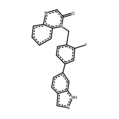 O=c1cnc2ccccc2n1Cc1ccc(-c2ccc3cn[nH]c3c2)cc1F